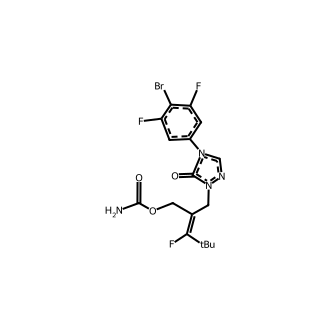 CC(C)(C)/C(F)=C(/COC(N)=O)Cn1ncn(-c2cc(F)c(Br)c(F)c2)c1=O